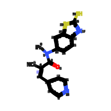 CC(C)N(C(=O)/C(C#N)=C\c1ccncc1)c1ccc2nc(S)sc2c1